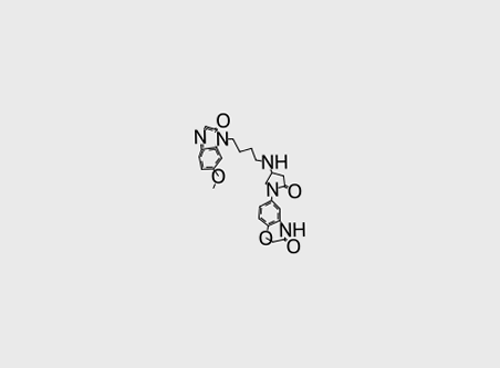 COc1ccc2ncc(=O)n(CCCCNC3CC(=O)N(c4ccc5c(c4)NC(=O)CO5)C3)c2c1